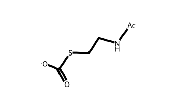 CC(=O)NCCSC([O])=O